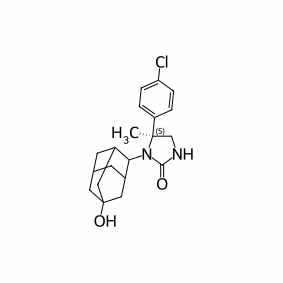 C[C@]1(c2ccc(Cl)cc2)CNC(=O)N1C1C2CC3CC1CC(O)(C3)C2